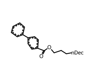 CCCCCCCCCCCCCOC(=O)c1ccc(-c2ccccc2)cc1